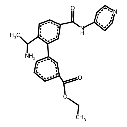 CCOC(=O)c1cccc(-c2cc(C(=O)Nc3ccncc3)ccc2C(C)N)c1